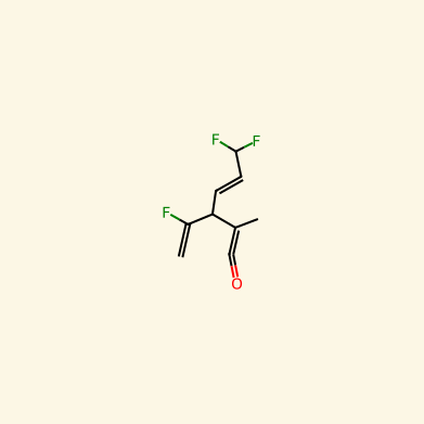 C=C(F)C(C=CC(F)F)C(C)=C=O